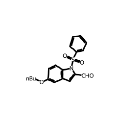 CCCCOc1ccc2c(c1)cc(C=O)n2S(=O)(=O)c1ccccc1